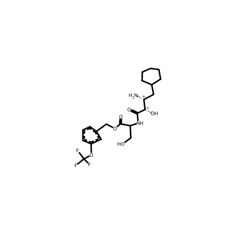 N[C@H](CC1CCCCC1)[C@H](O)C(=O)NC(CO)C(=O)OCc1cccc(OC(F)(F)F)c1